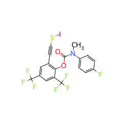 CN(C(=O)Oc1c(C#CSI)cc(C(F)(F)F)cc1C(F)(F)F)c1ccc(F)cc1